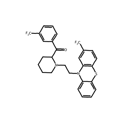 O=C(c1cccc(C(F)(F)F)c1)C1CCCCN1CCN1c2ccccc2Sc2ccc(C(F)(F)F)cc21